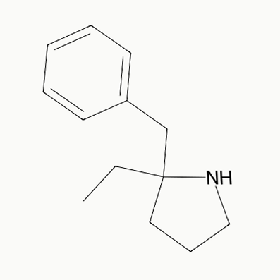 CCC1(Cc2ccccc2)CCCN1